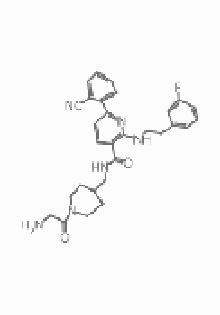 N#Cc1ccccc1-c1ccc(C(=O)NCC2CCN(C(=O)CN)CC2)c(NCCc2cccc(F)c2)n1